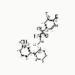 CN1C=C([C@@H]2CCCC[C@H]2CCNS(=O)(=O)c2ccc(F)c(F)c2)C=CC1